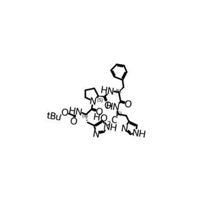 CC(C)(C)OC(=O)N[C@@H](Cc1c[nH]cn1)C(=O)N1CCC[C@H]1C(=O)N[C@@H](Cc1ccccc1)C(=O)N[C@@H](Cc1c[nH]cn1)C(=O)O